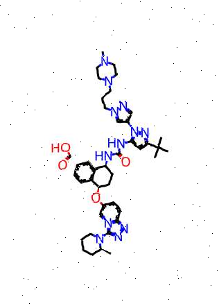 C[C@H]1CCCCN1c1nnc2ccc(O[C@@H]3CC[C@H](NC(=O)Nc4cc(C(C)(C)C)nn4-c4cnn(CCCN5CCN(C)CC5)c4)c4ccccc43)cn12.O=CO